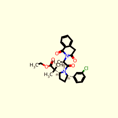 CCOC(=O)C(C)(C)[C@H]1CC[C@@H](c2cccc(Cl)c2)N1C(=O)[C@@H](C)N1C(=O)Cc2ccccc2C1=O